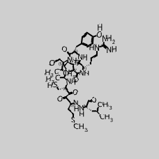 CSCC[C@H](NN[C@H](C=O)CC(C)C)C(=O)C(=O)[C@H](CS)NC(C)N1CCC[C@H]1C(=O)N[C@@H](CCCNC(=N)N)C(=O)N[C@@H](Cc1ccc(O)cc1)C(=O)N[C@H](C=O)C(C)C